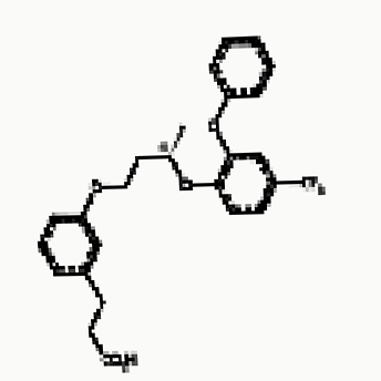 C[C@@H](CCOc1cccc(CCC(=O)O)c1)Oc1ccc(C(F)(F)F)cc1Oc1ccccc1